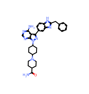 NC(=O)C1CCN(C2CCC(n3nc(-c4ccc5[nH]c(Cc6ccccc6)nc5c4)c4c(N)ncnc43)CC2)CC1